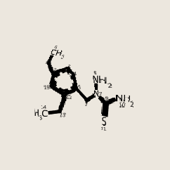 CCc1ccc(CN(N)C(N)=S)c(CC)c1